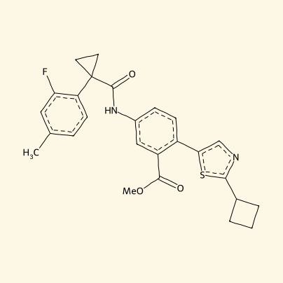 COC(=O)c1cc(NC(=O)C2(c3ccc(C)cc3F)CC2)ccc1-c1cnc(C2CCC2)s1